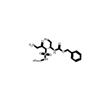 CCCCCNS(=O)(=O)[C@H](C(=O)C[N+](=O)[O-])C(CC(C)C)NC(=O)OCc1ccccc1